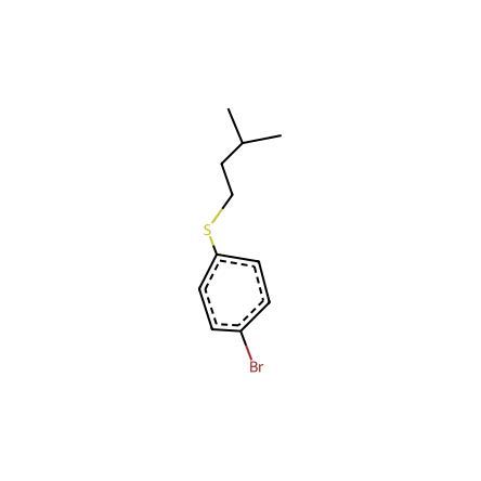 CC(C)CCSc1ccc(Br)cc1